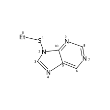 CCSn1cnc2cncnc21